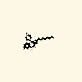 CCCCCCCCc1cc2c(s1)N(N1CCN(C)CC1)c1ccc(F)cc1NC2